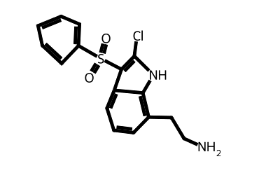 NCCc1cccc2c(S(=O)(=O)c3ccccc3)c(Cl)[nH]c12